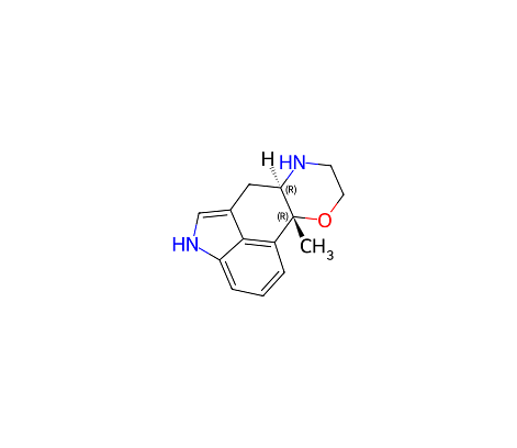 C[C@]12OCCN[C@@H]1Cc1c[nH]c3cccc2c13